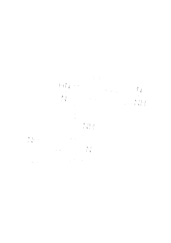 c1cncc(-c2ccnc3[nH]c(-c4n[nH]c5ccc(-c6cn[nH]c6)cc45)cc23)c1